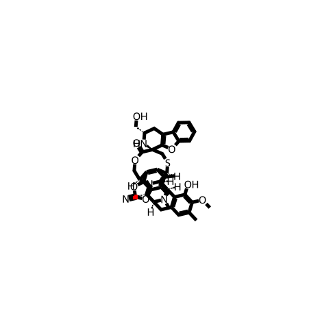 COc1c(C)cc2c(c1O)[C@@H]1[C@@H]3[C@@H]4SC[C@]5(N[C@H](CO)Cc6c5oc5ccccc65)C(=O)OC[C@@H](c5c6c(c(C)c(C)c54)OCO6)N3[C@@H](C#N)[C@H](C2)N1C